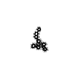 c1ccc(-c2ccc3ccc(-c4ccc(N(c5cccc6c5sc5ccccc56)c5cccc6c5sc5ccccc56)cc4)cc3c2)cc1